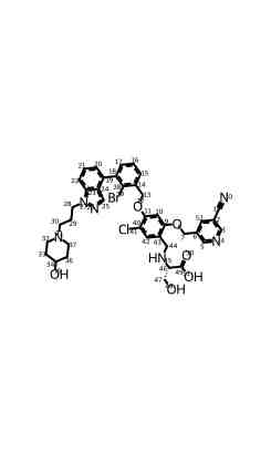 N#Cc1cncc(COc2cc(OCc3cccc(-c4cccc5c4cnn5CCCN4CCC(O)CC4)c3Br)c(Cl)cc2CN[C@@H](CO)C(=O)O)c1